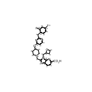 O=C(O)c1ccc2nc(CN3CCC(Oc4ccnc(Cc5ccc(F)cc5F)n4)CC3)n(CC3CCO3)c2n1